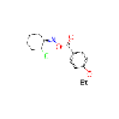 CCOc1ccc(C(=O)ON=C2CCCCC2Cl)cc1